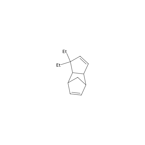 CCC1(CC)C=CC2C3C=CC(C3)C21